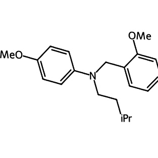 COc1ccc(N(CCC(C)C)Cc2ccccc2OC)cc1